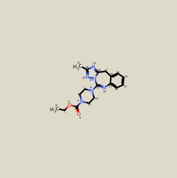 CCOC(=O)N1CCN(C2=Nc3ccccc3Cc3nc(C)nn32)CC1